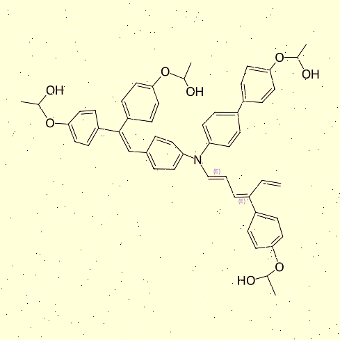 C=C/C(=C\C=C\N(c1ccc(C=C(c2ccc(OC(C)O)cc2)c2ccc(OC(C)O)cc2)cc1)c1ccc(-c2ccc(OC(C)O)cc2)cc1)c1ccc(OC(C)O)cc1